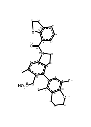 Cc1cc2c(c(-c3cc(F)c4c(c3C)CCCO4)c1CC(=O)O)CCN2C(=O)c1cccc2c1OCC2